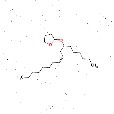 [CH2]CCCCCC/C=C\CC(CCCCCC)O[C@@H]1CCCO1